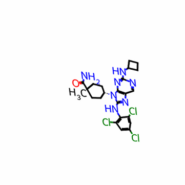 C[C@]1(C(N)=O)CC[C@H](n2c(Nc3c(Cl)cc(Cl)cc3Cl)nc3cnc(NC4CCC4)nc32)CC1